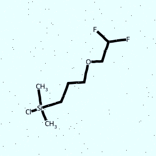 C[Si](C)(Cl)CCCOCC(F)F